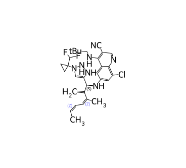 C=C(/C(C)=C\C=C/C)[C@H](Nc1cc(Cl)c2ncc(C#N)c(NCC(C)(C)C)c2c1)C1=CN(C2(C(F)F)CC2)NN1